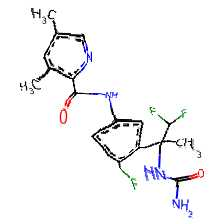 Cc1cnc(C(=O)Nc2ccc(F)c(C(C)(NC(N)=O)C(F)F)c2)c(C)c1